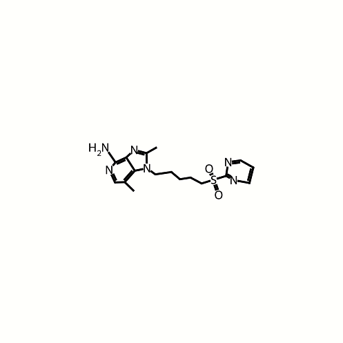 Cc1cnc(N)c2nc(C)n(CCCCCS(=O)(=O)c3ncccn3)c12